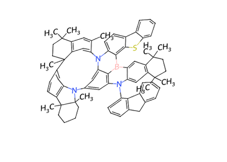 Cc1cc2c3cc1N1c4cc(cc5c4B(c4cc6c(cc4N5c4cccc5c4-c4ccccc4C5)C(C)(C)CCC6(C)C)c4c1ccc1c4sc4ccccc41)N1c4cc(ccc4C4(C)CCCCC14C)C3(C)CCC2(C)C